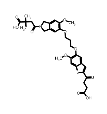 COc1cc2c(cc1OCCCOc1cc3cc(C(=O)CCC(=O)O)sc3cc1OC)CN(C(=O)CC(C)(C)C(=O)O)C2